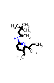 C=Cc1ccc(NC(=C)CC(C)(C)C)nc1C(=C)CC